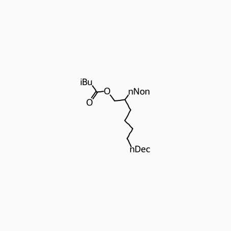 CCCCCCCCCCCCCCC(CCCCCCCCC)COC(=O)C(C)CC